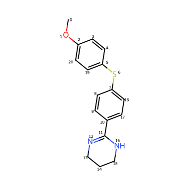 COc1ccc(Sc2ccc(C3=NCCCN3)cc2)cc1